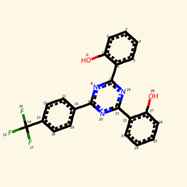 Oc1ccccc1-c1nc(-c2ccc(C(F)(F)F)cc2)nc(-c2ccccc2O)n1